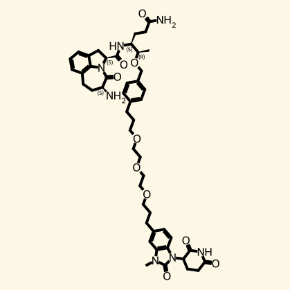 C[C@@H](OCc1ccc(CCCOCCOCCOCCCc2ccc3c(c2)n(C)c(=O)n3C2CCC(=O)NC2=O)cc1)[C@H](CCC(N)=O)NC(=O)[C@@H]1Cc2cccc3c2N1C(=O)[C@@H](N)CC3